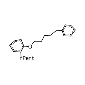 CCCCCc1ccccc1OCCCCCc1ccccc1